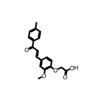 COc1cc(/C=C/C(=O)c2ccc(C)cc2)ccc1OCC(=O)O